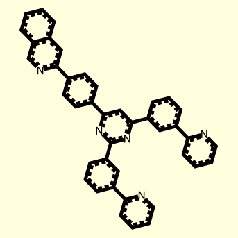 c1ccc(-c2cccc(-c3cc(-c4ccc(-c5cc6ccccc6cn5)cc4)nc(-c4cccc(-c5ccccn5)c4)n3)c2)nc1